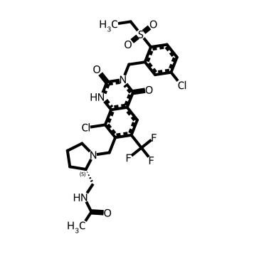 CCS(=O)(=O)c1ccc(Cl)cc1Cn1c(=O)[nH]c2c(Cl)c(CN3CCC[C@H]3CNC(C)=O)c(C(F)(F)F)cc2c1=O